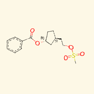 CS(=O)(=O)OCC[C@@H]1CC[C@@H](OC(=O)c2ccccc2)C1